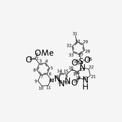 COC(=O)c1ccc2c(c1)CCC[C@H]2n1cc(C[C@@H]2C(=O)NCCN2S(=O)(=O)c2ccc(C)cc2)nn1